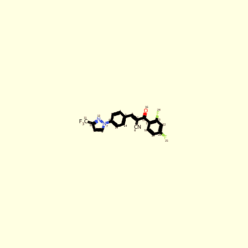 N#C/C(=C\c1ccc(-n2ccc(C(F)(F)F)n2)cc1)C(=O)c1ccc(F)cc1F